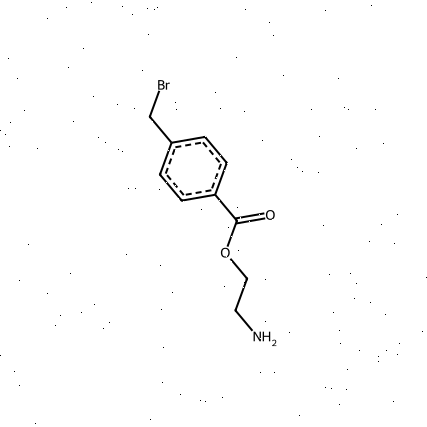 NCCOC(=O)c1ccc(CBr)cc1